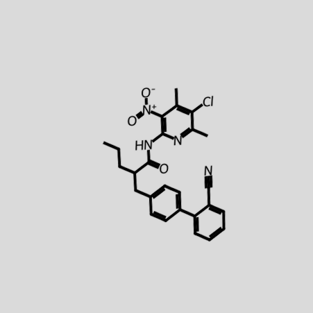 CCCC(Cc1ccc(-c2ccccc2C#N)cc1)C(=O)Nc1nc(C)c(Cl)c(C)c1[N+](=O)[O-]